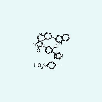 Cc1ccc(S(=O)(=O)O)cc1.Cn1c(=O)n(-c2ccc(-n3cncn3)c(Cl)c2)c2c3cc(-c4cnc5ccccc5c4)ccc3ncc21